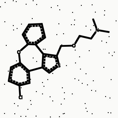 CN(C)CCOCc1scc2c1-c1ccccc1Oc1ccc(Cl)cc1-2